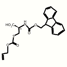 C=CCOC(=O)SC[C@H](NC(=O)OCC1c2ccccc2-c2ccccc21)C(=O)O